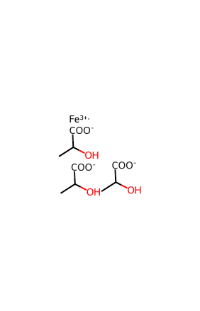 CC(O)C(=O)[O-].CC(O)C(=O)[O-].CC(O)C(=O)[O-].[Fe+3]